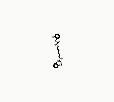 CCc1ccccc1SC(=S)NCCCCCCNC(=S)Sc1ccccc1CC